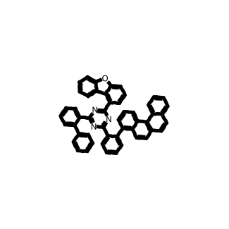 c1ccc(-c2ccccc2-c2nc(-c3ccccc3-c3cccc4c3ccc3ccc5ccccc5c34)nc(-c3cccc4oc5ccccc5c34)n2)cc1